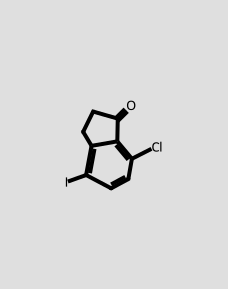 O=C1CCc2c(I)ccc(Cl)c21